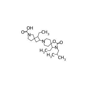 CCC1C(N2CCC3(CC2)OC(=O)N(CC(C)C)C3CC)CC12CCN(C(=O)O)C2